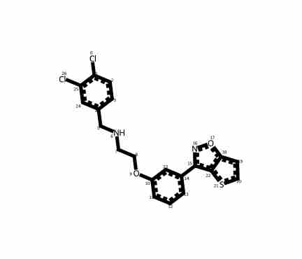 Clc1ccc(CNCCOc2cccc(-c3noc4ccsc34)c2)cc1Cl